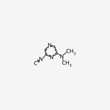 [C-]#[N+]c1cncc(N(C)C)n1